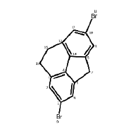 Brc1cc2c3c(c1)Cc1cc(Br)cc(c1-3)CC2